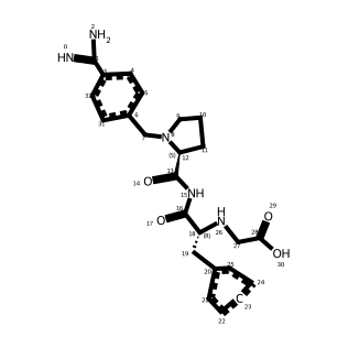 N=C(N)c1ccc(CN2CCC[C@H]2C(=O)NC(=O)[C@@H](Cc2ccccc2)NCC(=O)O)cc1